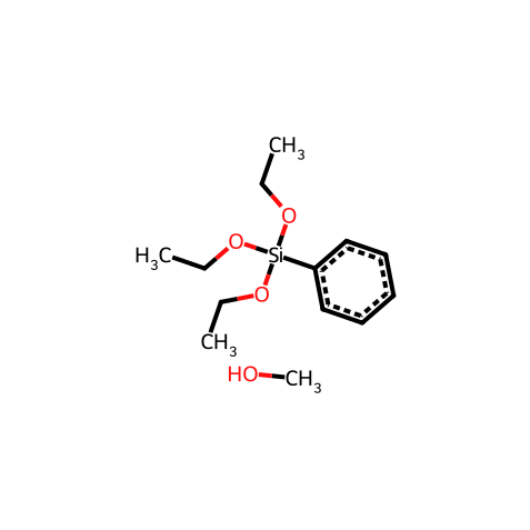 CCO[Si](OCC)(OCC)c1ccccc1.CO